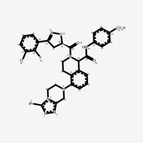 CC(C)c1nnc2n1CCN(c1cccc3c1CCN(C(=O)[C@H]1CC(c4cccc(Cl)c4F)=NO1)C3C(=O)Nc1ccc(C(=O)O)cc1)C2